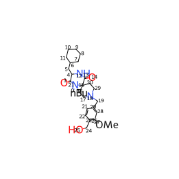 CCCCN1C(=O)C(CC2CCCCC2)NC(=O)C12CCN(Cc1ccc(CO)c(OC)c1)CC2